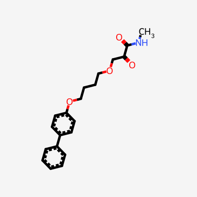 CNC(=O)C(=O)COCCCCOc1ccc(-c2ccccc2)cc1